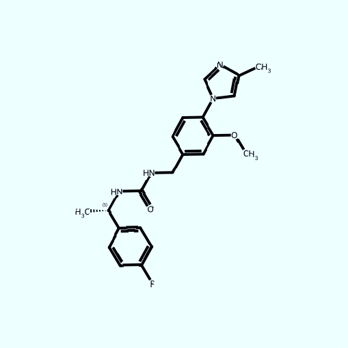 COc1cc(CNC(=O)N[C@@H](C)c2ccc(F)cc2)ccc1-n1cnc(C)c1